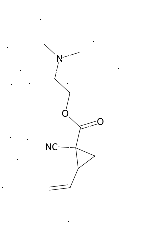 C=CC1CC1(C#N)C(=O)OCCN(C)C